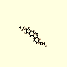 Cc1ccc2c(c1)sc1cc3sc(C)cc3cc12